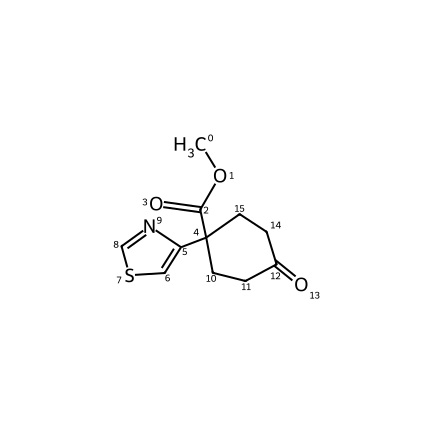 COC(=O)C1(c2cscn2)CCC(=O)CC1